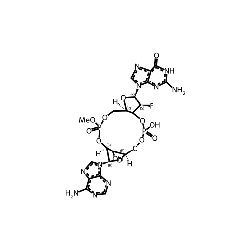 COP1(=O)OC[C@H]2O[C@@H](n3cnc4c(=O)[nH]c(N)nc43)[C@@H](F)C2OP(=O)(O)OC[C@H]2O[C@@H](n3cnc4c(N)ncnc43)[C@@H](O1)C2O